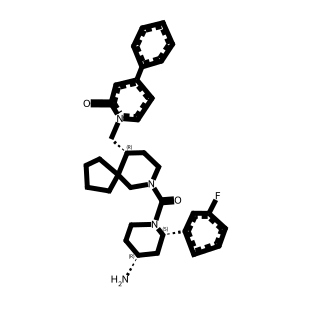 N[C@@H]1CCN(C(=O)N2CC[C@@H](Cn3ccc(-c4ccccc4)cc3=O)C3(CCCC3)C2)[C@H](c2cccc(F)c2)C1